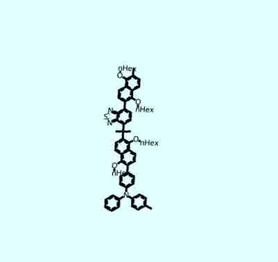 CCCCCCOc1c(C)ccc2c(OCCCCCC)c(-c3ccc(C(C)(C)c4ccc5c(OCCCCCC)c(-c6ccc(N(c7ccccc7)c7ccc(C)cc7)cc6)ccc5c4OCCCCCC)c4nsnc34)ccc12